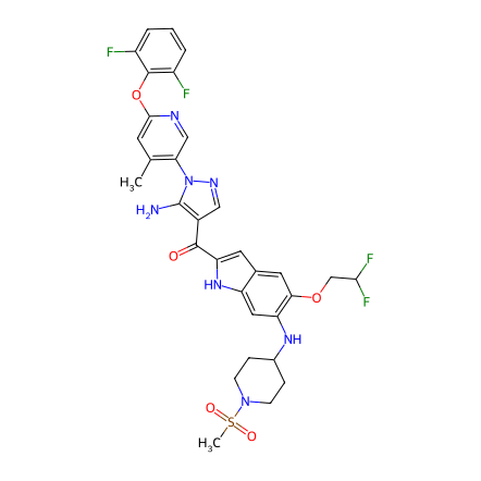 Cc1cc(Oc2c(F)cccc2F)ncc1-n1ncc(C(=O)c2cc3cc(OCC(F)F)c(NC4CCN(S(C)(=O)=O)CC4)cc3[nH]2)c1N